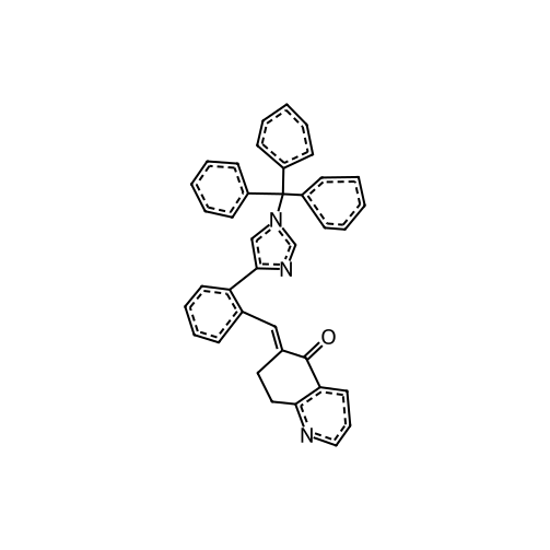 O=C1/C(=C/c2ccccc2-c2cn(C(c3ccccc3)(c3ccccc3)c3ccccc3)cn2)CCc2ncccc21